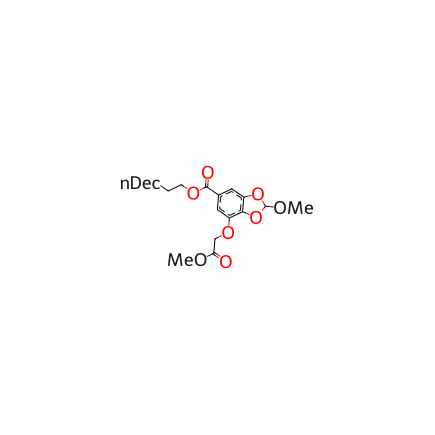 CCCCCCCCCCCCOC(=O)c1cc(OCC(=O)OC)c2c(c1)OC(OC)O2